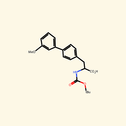 COc1cccc(-c2ccc(CC(NC(=O)OC(C)(C)C)C(=O)O)cc2)c1